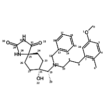 COc1ccc(C)c(CCCN(Cc2ccccc2)[C@H](C)[C@]2(O)CC[C@@]3(CC2)NC(=O)NC3=O)c1